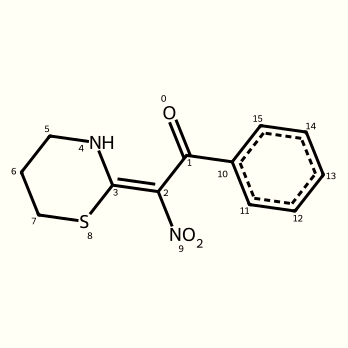 O=C(C(=C1NCCCS1)[N+](=O)[O-])c1ccccc1